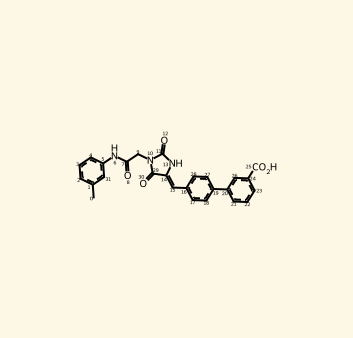 Cc1cccc(NC(=O)CN2C(=O)N/C(=C\c3ccc(-c4cccc(C(=O)O)c4)cc3)C2=O)c1